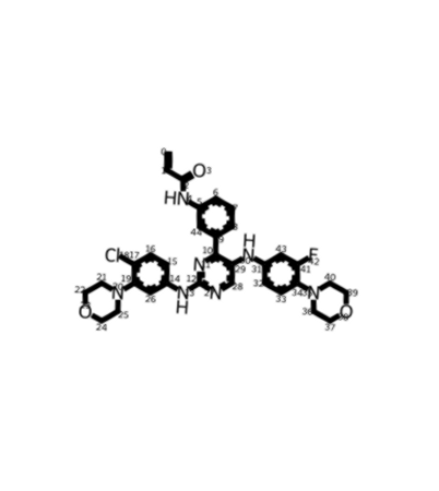 C=CC(=O)Nc1cccc(-c2nc(Nc3ccc(Cl)c(N4CCOCC4)c3)ncc2Nc2ccc(N3CCOCC3)c(F)c2)c1